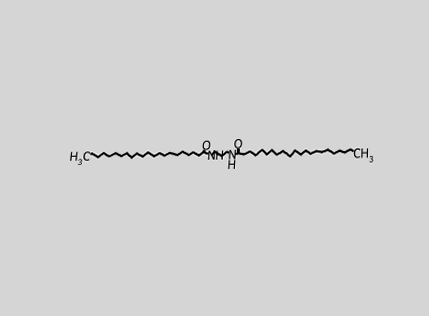 CCCCCCCCCCCCCCCCCCCCCC(=O)NCCCNC(=O)CCCCCCCCCCCCCCCCCCCCC